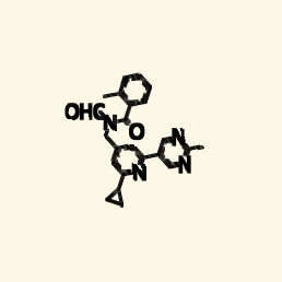 Cc1ncc(-c2cc(CN(C=O)C(=O)c3ccccc3C)cc(C3CC3)n2)cn1